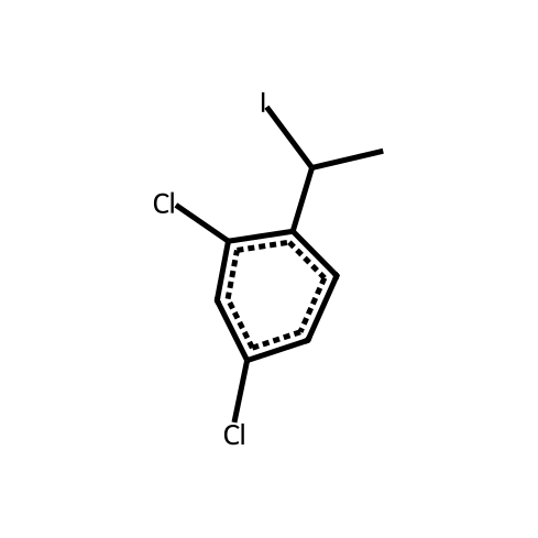 CC(I)c1ccc(Cl)cc1Cl